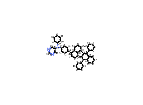 c1ccc(-c2c3c(c(-c4ccccc4)c4ccccc24)-c2ccc(-c4ccc(N(c5ccccc5)c5cncnc5)cc4)c4cccc-3c24)cc1